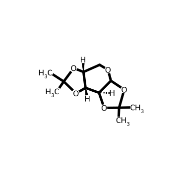 CC1(C)OC2OC[C@H]3OC(C)(C)O[C@H]3[C@@H]2O1